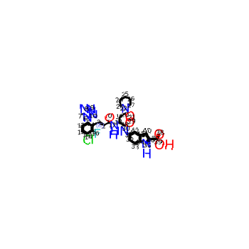 O=C(/C=C/c1c(-n2cnnn2)ccc(Cl)c1F)NC(CC(=O)N1CCCCC1)C(=O)Nc1ccc2[nH]c(C(=O)O)cc2c1